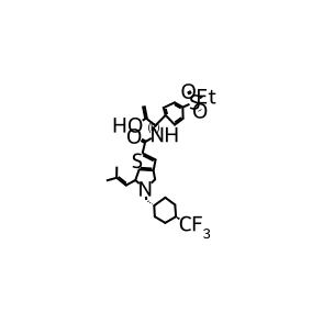 C=C(O)[C@H](NC(=O)c1cc2c(s1)C(C=C(C)C)N(C[C@H]1CC[C@H](C(F)(F)F)CC1)C2)c1ccc(S(=O)(=O)CC)cc1